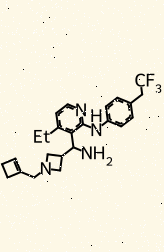 CCc1ccnc(Nc2ccc(CC(F)(F)F)cc2)c1C(N)C1CN(CC2=CCC2)C1